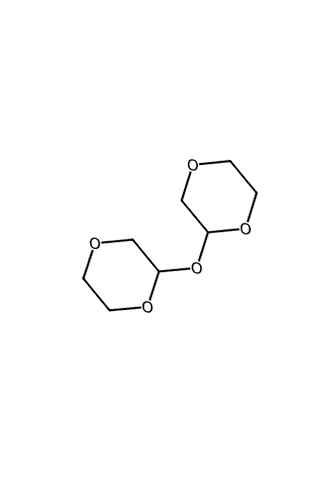 C1COC(OC2COCCO2)CO1